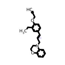 C#CCOc1ccc(/C=C/CN2CCOc3ccccc32)cc1CC